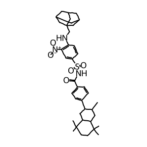 CC1CC2C(CC1c1ccc(C(=O)NS(=O)(=O)c3ccc(NCC45CC6CC(CC(C6)C4)C5)c([N+](=O)[O-])c3)cc1)C(C)(C)CCC2(C)C